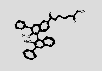 COc1c(-c2ccccc2)cc2ccccc2c1-c1c(OC)c(-c2ccccc2)cc2cc(C(=O)CCCCC(=O)CO)ccc12